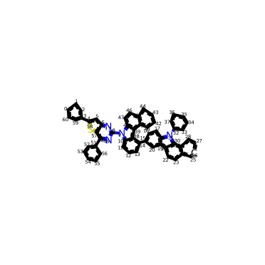 c1ccc(-c2cc3nc(-n4c5cccc(-c6ccc7c(c6)c6ccc8ccccc8c6n7-c6ccccc6)c5c5c6ccccc6ccc54)nc(-c4ccccc4)c3s2)cc1